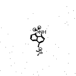 C[Si](C)(C)OCc1ccc2c3c(cccc13)S(=O)(=O)N2